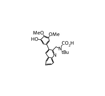 COc1cc(-c2cc3ccccc3nc2CN(C(=O)O)C(C)(C)C)cc(O)c1OC